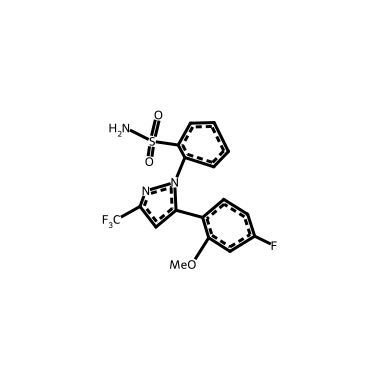 COc1cc(F)ccc1-c1cc(C(F)(F)F)nn1-c1ccccc1S(N)(=O)=O